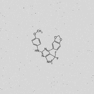 COc1ccc(Nc2nc(N)c(C(F)(F)F)c(-c3ccc4c(c3)OCO4)n2)cc1